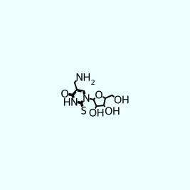 NCc1cn(C2OC(CO)C(O)C2O)c(=S)[nH]c1=O